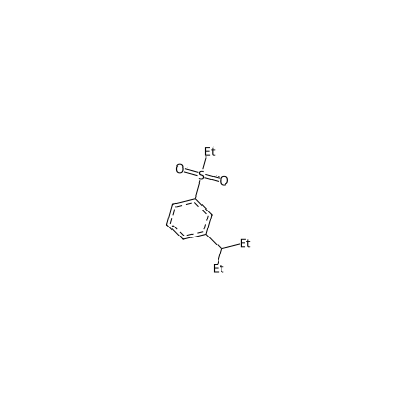 CCC(CC)c1cccc(S(=O)(=O)CC)c1